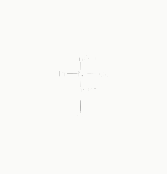 CCCCCCCC[N+](CCC)(CCCCCCCC)CCCCCCCC.C[O-]